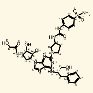 NS(=O)(=O)c1ccc(NC(=O)NC2CCN(c3nc(N[C@H](CO)Cc4ccccc4)c4ncn([C@@H]5C[C@H](NC(=O)CO)[C@@H](O)[C@H]5O)c4n3)C2)cc1